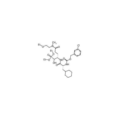 CCOCCN(C)C(=O)CC[C@H](NC(=O)[C@@H](CC1CCCCC1)NC(=O)OCc1cccc(Cl)c1)C(O)P(=O)(OCC)OCC